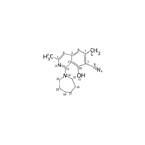 Cc1cc2cc(C)c(C#N)c(O)c2c(N2CCCCCC2)n1